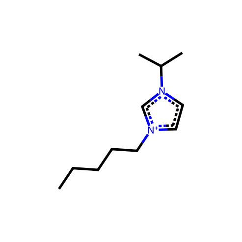 CCCCC[n+]1ccn(C(C)C)c1